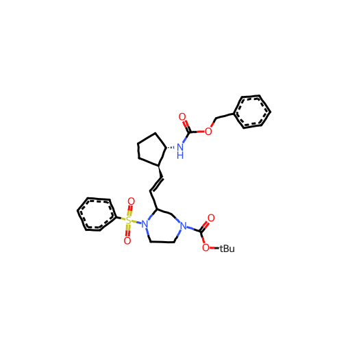 CC(C)(C)OC(=O)N1CCN(S(=O)(=O)c2ccccc2)C(C=C[C@H]2CCC[C@@H]2NC(=O)OCc2ccccc2)C1